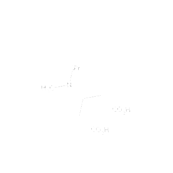 CC(C)N(C)C(CC(=O)O)CC(=O)O